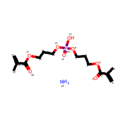 C=C(C)C(=O)OCCCOP(=O)(O)OCCCOC(=O)C(=C)C.N